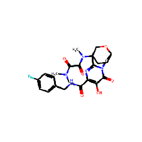 CN(C)C(=O)C(=O)N(C)C12CCC(Cn3c1nc(C(=O)NCc1ccc(F)cc1)c(O)c3=O)OC2